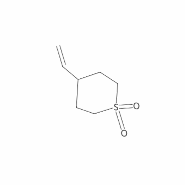 C=CC1CCS(=O)(=O)CC1